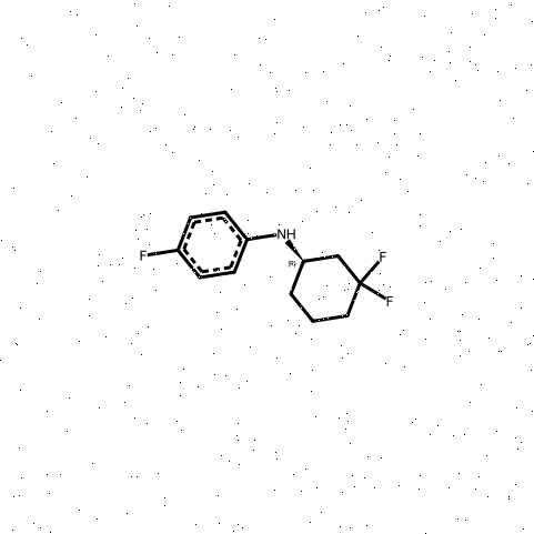 Fc1ccc(N[C@@H]2CCCC(F)(F)C2)cc1